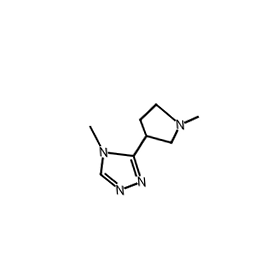 CN1CCC(c2nncn2C)C1